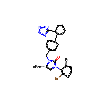 CCCCCc1cn(-c2c(Br)cccc2CC)c(=O)n1Cc1ccc(-c2ccccc2-c2nnn[nH]2)cc1